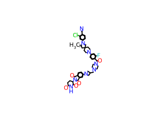 C[C@H]1CC2(CCN(c3ccc(C(=O)N4CCN(CC5CN(c6ccc7c(c6)C(=O)N(C6CCC(=O)NC6=O)C7=O)C5)CC4)c(F)c3)CC2)CN1c1ccc(C#N)c(Cl)c1